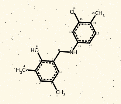 Cc1cc(C)c(O)c(CNc2ccc(C)c(Cl)c2)c1